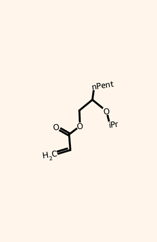 C=CC(=O)OCC(CCCCC)OC(C)C